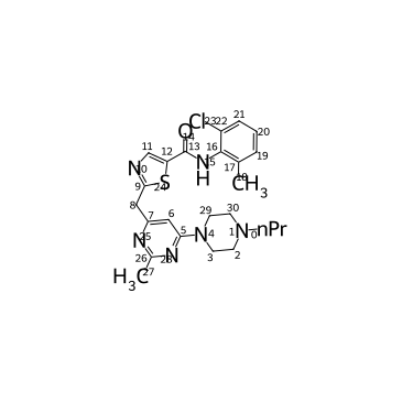 CCCN1CCN(c2cc(Cc3ncc(C(=O)Nc4c(C)cccc4Cl)s3)nc(C)n2)CC1